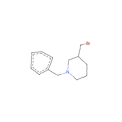 BrCC1CCCN(Cc2ccccc2)C1